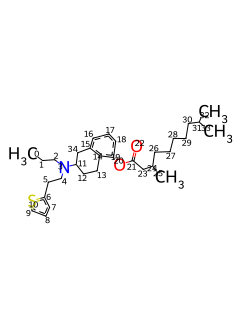 CCCN(CCc1cccs1)C1CCc2c(cccc2OC(=O)CC(C)CCCCCC(C)C)C1